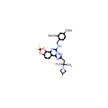 COc1ccc(CNc2nc3c4c(ccc3c3nc(CC(C)(C)N5CC(F)C5)nn23)OC(F)(F)O4)c(OC)c1